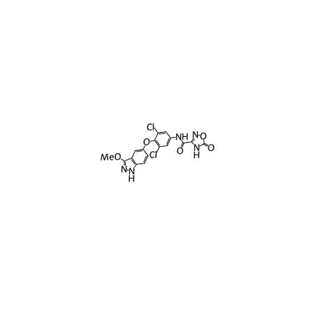 COc1n[nH]c2ccc(Oc3c(Cl)cc(NC(=O)c4noc(=O)[nH]4)cc3Cl)cc12